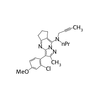 CC#CCN(CCC)c1c2c(nc3c(-c4ccc(OC)cc4Cl)c(C)nn13)CCC2